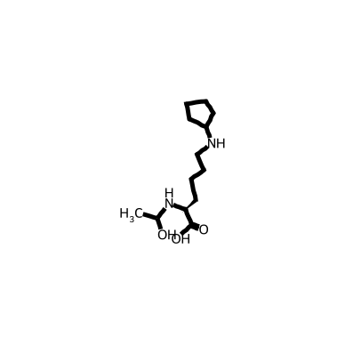 CC(O)N[C@@H](CCCCNC1CCCC1)C(=O)O